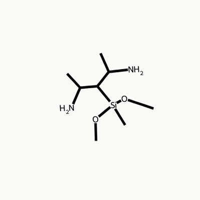 CO[Si](C)(OC)C(C(C)N)C(C)N